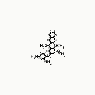 C=C(c1ccc2ccccc2c1)c1cc(Cc2cnc(N)nc2N)cc(OC)c1OC